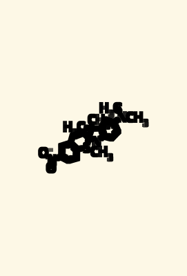 CN(C)c1ccc2c(c1)C(C)(C)C1(C=Cc3cc([N+](=O)[O-])ccc3S1)N2C